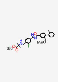 COCc1cc(-c2nc(-c3ccc(CNC(C)(C)C(=O)OC(C)(C)C)c(F)c3)no2)ccc1-c1ccccc1C